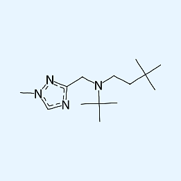 Cn1cnc(CN(CCC(C)(C)C)C(C)(C)C)n1